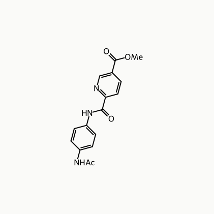 COC(=O)c1ccc(C(=O)Nc2ccc(NC(C)=O)cc2)nc1